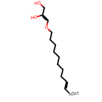 CCCCCCCCC=CCCCCCCCCOC=C(O)CO